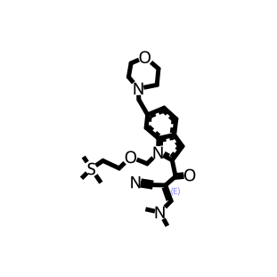 CN(C)/C=C(\C#N)C(=O)c1cc2ccc(CN3CCOCC3)cc2n1COCCS(C)(C)C